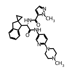 CN1CCN(c2ccc(NC(=O)[C@@H](NC(=O)c3ccnn3C)C3c4ccccc4CC34CC4)cn2)CC1